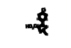 Cc1nc(-c2ccc(Cl)cc2)c(C(=O)O)s1